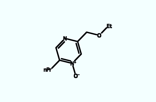 CCCc1cnc(COCC)c[n+]1[O-]